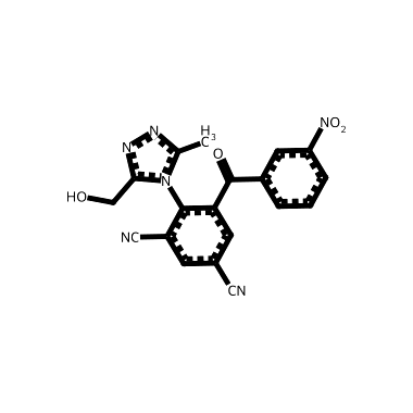 Cc1nnc(CO)n1-c1c(C#N)cc(C#N)cc1C(=O)c1cccc([N+](=O)[O-])c1